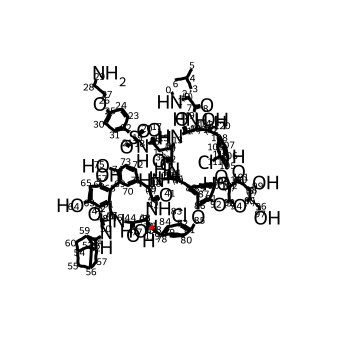 CN[C@H](CC(C)C)C(=O)N[C@H]1C(=O)N[C@@H](CC(=O)NS(=O)(=O)c2ccc(OCCN)cc2)C(=O)N[C@H]2C(=O)N[C@H]3C(=O)N[C@H](C(=O)N[C@H](C(=O)NC4C5CC6CC(C5)CC4C6)c4cc(O)cc(O)c4-c4cc3ccc4O)[C@H](O)c3ccc(c(Cl)c3)Oc3cc2cc(c3O[C@@H]2O[C@H](CO)[C@@H](O)[C@H](O)[C@H]2O)Oc2ccc(cc2Cl)[C@H]1O